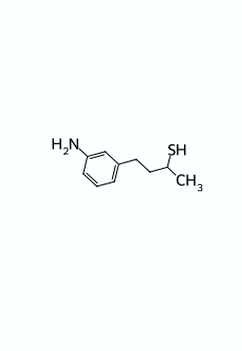 CC(S)CCc1cccc(N)c1